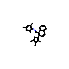 CC1=C(C)C(C)=C(c2ccc3ccccc3c2/C=N/c2c(C)cc(C)cc2C)C1